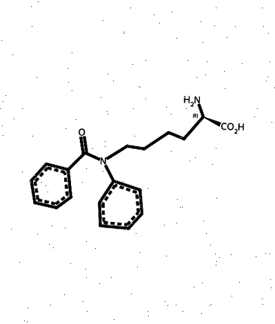 N[C@H](CCCCN(C(=O)c1ccccc1)c1ccccc1)C(=O)O